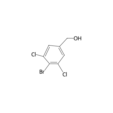 OCc1cc(Cl)c(Br)c(Cl)c1